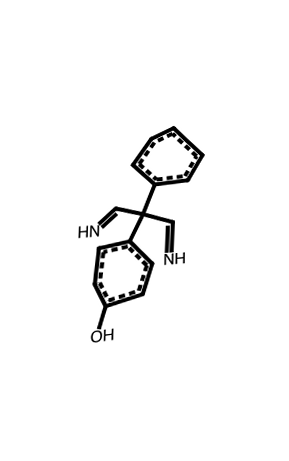 N=CC(C=N)(c1ccccc1)c1ccc(O)cc1